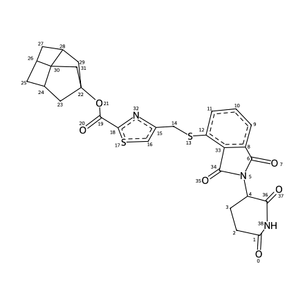 O=C1CCC(N2C(=O)c3cccc(SCc4csc(C(=O)OC56CC7CC8CC(C5)C87C6)n4)c3C2=O)C(=O)N1